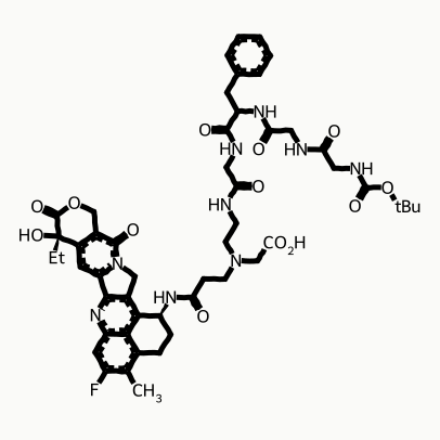 CC[C@@]1(O)C(=O)OCc2c1cc1n(c2=O)Cc2c-1nc1cc(F)c(C)c3c1c2[C@@H](NC(=O)CCN(CCNC(=O)CNC(=O)C(Cc1ccccc1)NC(=O)CNC(=O)CNC(=O)OC(C)(C)C)CC(=O)O)CC3